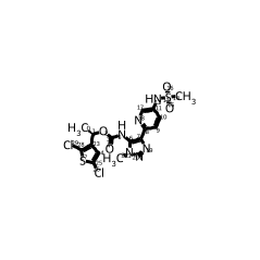 C[C@@H](OC(=O)Nc1c(-c2ccc(NS(C)(=O)=O)cn2)nnn1C)c1cc(Cl)sc1Cl